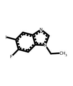 CCn1cnc2cc(I)c(F)cc21